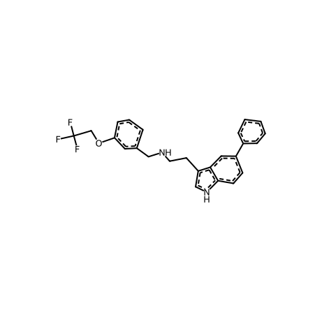 FC(F)(F)COc1cccc(CNCCc2c[nH]c3ccc(-c4ccccc4)cc23)c1